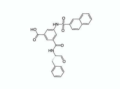 O=C[C@H](Cc1ccccc1)NC(=O)c1cc(NS(=O)(=O)c2ccc3ccccc3c2)cc(C(=O)O)c1